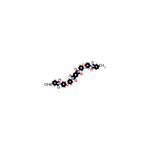 Cc1ccc2c(c1)C(=O)N(c1ccc(Oc3ccc(-n4c(=O)c5cc6c(=O)n(-c7ccc(Oc8ccc(N9C(=O)c%10ccc(C=O)cc%10C9=O)cc8)cc7)c(=O)c6cc5c4=O)cc3)cc1)C2=O